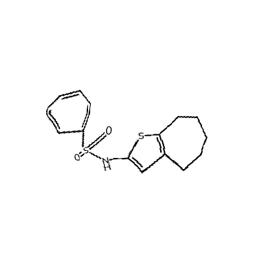 O=S(=O)(Nc1cc2c(s1)CCCCC2)c1ccccc1